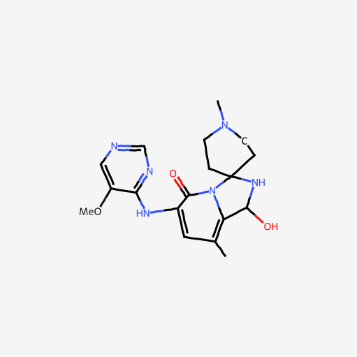 COc1cncnc1Nc1cc(C)c2n(c1=O)C1(CCN(C)CC1)NC2O